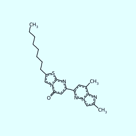 CCCCCCCCc1cn2c(=O)cc(-c3cc(C)c4nc(C)cn4n3)nc2s1